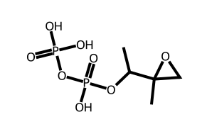 CC(OP(=O)(O)OP(=O)(O)O)C1(C)CO1